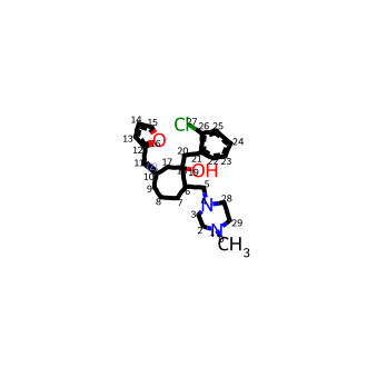 CN1CCN(CC2CCC/C(=C/c3ccco3)CC2(O)Cc2ccccc2Cl)CC1